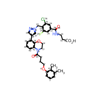 Cc1cccc(OCCCC(=O)N2CCOc3c(-c4cnn(Cc5c(F)cc(C(=O)NCCC(=O)O)cc5Cl)c4)cccc32)c1C